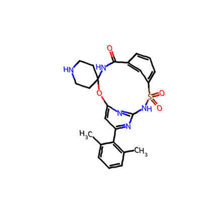 Cc1cccc(C)c1-c1cc2nc(n1)NS(=O)(=O)c1cccc(c1)C(=O)NC1(CCNCC1)O2